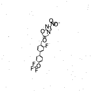 O=[N+]([O-])c1cn2c(n1)OC[C@@H](OCc1ccc(-c3ccc(OC(F)(F)F)cc3)cc1F)C2